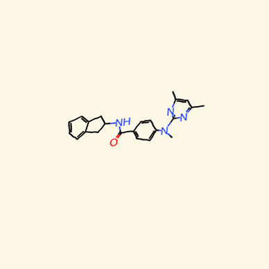 Cc1cc(C)nc(N(C)c2ccc(C(=O)NC3Cc4ccccc4C3)cc2)n1